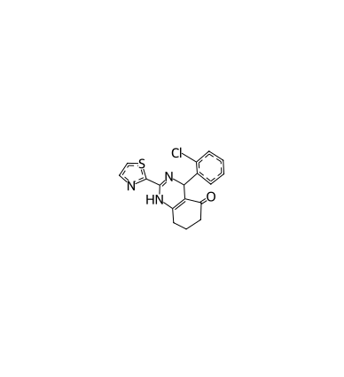 O=C1CCCC2=C1C(c1ccccc1Cl)N=C(c1nccs1)N2